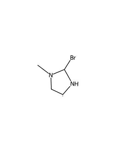 CN1C[CH]NC1Br